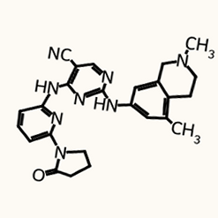 Cc1cc(Nc2ncc(C#N)c(Nc3cccc(N4CCCC4=O)n3)n2)cc2c1CCN(C)C2